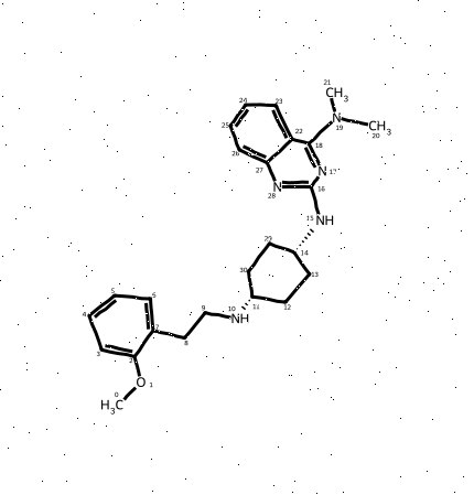 COc1ccccc1CCN[C@H]1CC[C@@H](Nc2nc(N(C)C)c3ccccc3n2)CC1